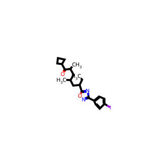 CCC(CC(C)CC(C)C(=O)C1CCC1)c1nc(-c2ccc(I)cc2)no1